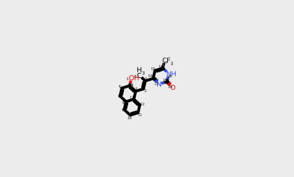 CC(=Cc1c(O)ccc2ccccc12)c1cc(C(F)(F)F)[nH]c(=O)n1